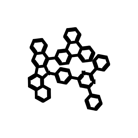 c1ccc(-c2cc(-c3ccc(-n4c5c(-c6ccc7c8ccccc8c8ccccc8c7c6)c6ccccc6cc5c5ccc6ccccc6c54)cc3)nc(-c3ccccc3)n2)cc1